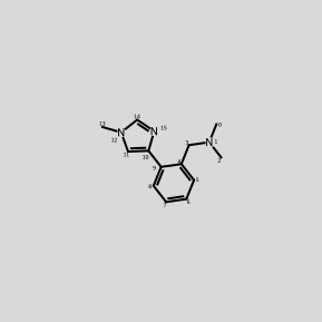 CN(C)Cc1ccccc1-c1cn(C)cn1